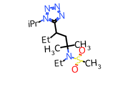 CCC(CC(C)(C)N(CC)S(C)(=O)=O)c1nnnn1C(C)C